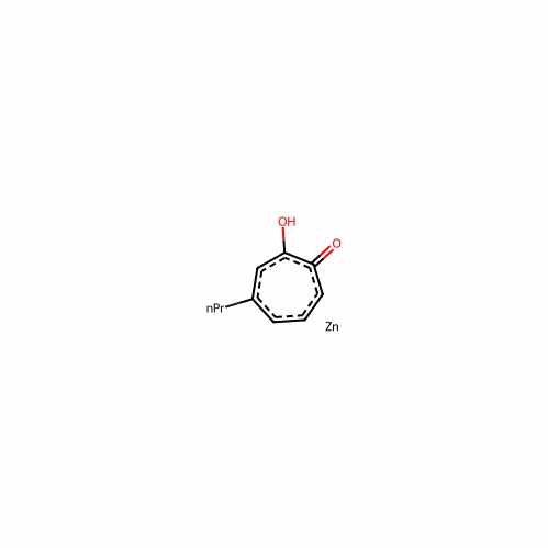 CCCc1cccc(=O)c(O)c1.[Zn]